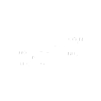 CP(=O)(O)CCCC(N)C(=O)O